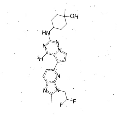 [2H]c1nc(NC2CCC(C)(O)CC2)nn2ccc(-c3ccc4nc(C)n(CC(F)F)c4n3)c12